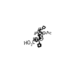 CC(=O)O[C@H](CC(C(C)C)N(C)C(=O)CC1CCCCC1)c1nc(C(=O)N[C@@H](Cc2ccccc2)C[C@H](F)C(=O)O)cs1